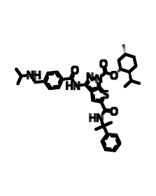 CC(C)NCc1ccc(C(=O)Nc2nn(C(=O)O[C@@H]3C[C@H](C)CC[C@H]3C(C)C)c3sc(C(=O)NC(C)(C)c4ccccc4)cc23)cc1